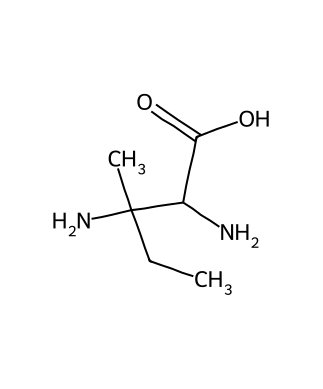 CCC(C)(N)C(N)C(=O)O